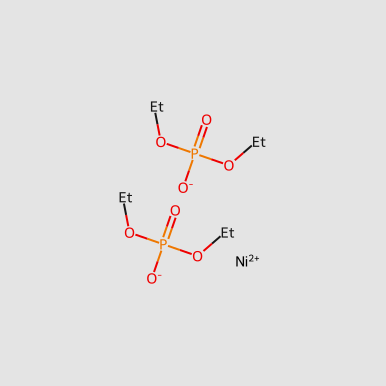 CCOP(=O)([O-])OCC.CCOP(=O)([O-])OCC.[Ni+2]